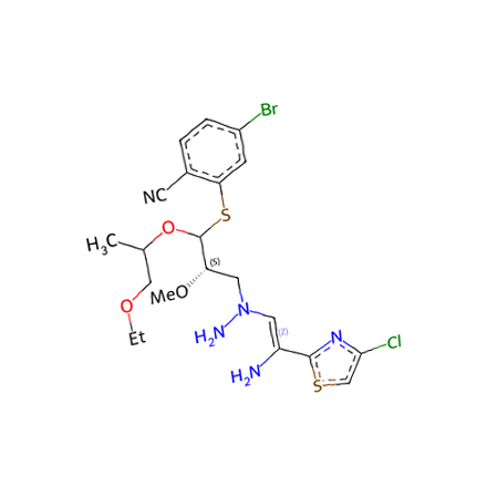 CCOCC(C)OC(Sc1cc(Br)ccc1C#N)[C@H](CN(N)/C=C(\N)c1nc(Cl)cs1)OC